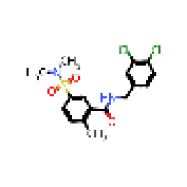 Cc1ccc(S(=O)(=O)N(C)C)cc1C(=O)NCc1ccc(Cl)c(Cl)c1